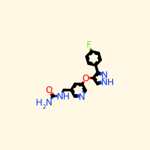 NC(=O)NCc1cncc(Oc2c[nH]nc2-c2ccc(F)cc2)c1